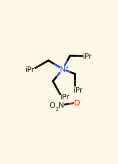 CC(C)C[N+](CC(C)C)(CC(C)C)CC(C)C.O=[N+]([O-])[O-]